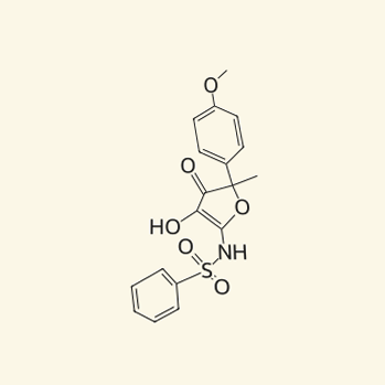 COc1ccc(C2(C)OC(NS(=O)(=O)c3ccccc3)=C(O)C2=O)cc1